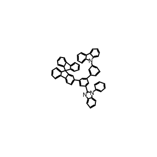 c1ccc(-n2c(-c3cc(-c4cccc(-n5c6ccccc6c6ccccc65)c4)cc(-c4ccc5c(c4)C4(c6ccccc6-c6ccccc64)c4ccccc4-5)c3)nc3ccccc32)cc1